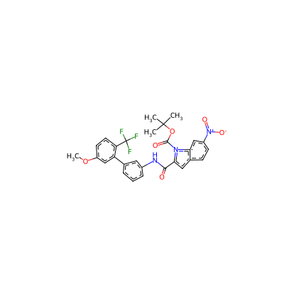 COc1ccc(C(F)(F)F)c(-c2cccc(NC(=O)c3cc4ccc([N+](=O)[O-])cc4n3C(=O)OC(C)(C)C)c2)c1